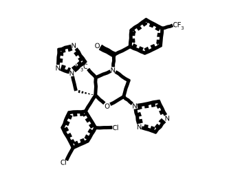 CC1N(C(=O)c2ccc(C(F)(F)F)cc2)CC(n2cncn2)O[C@@]1(Cn1cncn1)c1ccc(Cl)cc1Cl